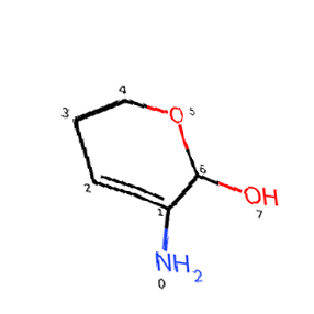 NC1=CCCOC1O